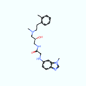 Cc1ccccc1CCN(C)CC(O)CNC(=O)CNc1ccc2ncn(C)c2c1